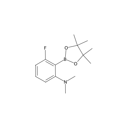 CN(C)c1cccc(F)c1B1OC(C)(C)C(C)(C)O1